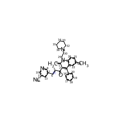 C=C1C(C(=O)/C=C/c2cncc(C#N)c2)=C(c2ccccc2)c2cc(C)ccc2N1CCN1CCCCC1